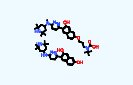 CC1(C)CC(Nc2ccc(-c3cc4ccc(O)cc4cc3O)nn2)CC(C)(C)N1.CN(c1ccc(-c2cc3ccc(OCCCN(C(=O)O)C(C)(C)C)cc3cc2O)nn1)C1CC(C)(C)NC(C)(C)C1